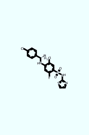 N[C@H](Nc1cc(F)c(S(=O)(=O)Nc2nccs2)cc1Cl)c1ccc(Cl)cc1